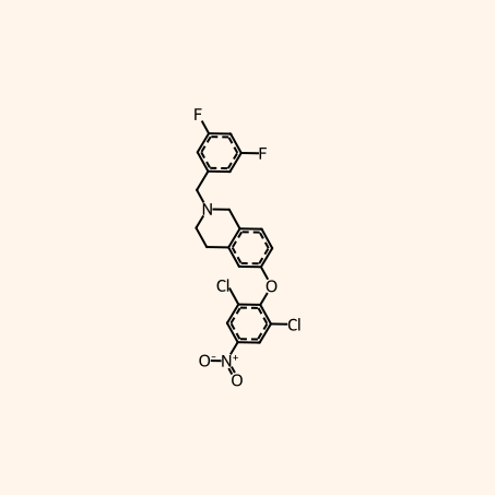 O=[N+]([O-])c1cc(Cl)c(Oc2ccc3c(c2)CCN(Cc2cc(F)cc(F)c2)C3)c(Cl)c1